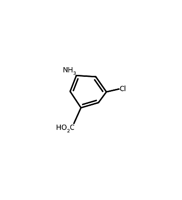 N.O=C(O)c1cccc(Cl)c1